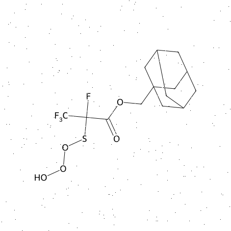 O=C(OCC12CC3CC(CC(C3)C1)C2)C(F)(SOOO)C(F)(F)F